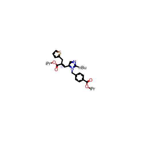 CCCCc1ncc(/C=C(\Cc2cccs2)C(=O)OC(C)C)n1Cc1ccc(C(=O)OC(C)C)cc1